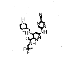 N#Cc1cnc(Nc2cc(NC[C@@H]3CNCCO3)c(C(=O)NCC(F)(F)F)nn2)cn1